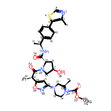 Cc1ncsc1-c1ccc([C@H](C)NC(=O)[C@@H]2C[C@@H](O)CN2C(=O)[C@@H](c2cc(N3CCN(C(=O)OC(C)(C)C)[C@H](C)C3)no2)C(C)C)cc1